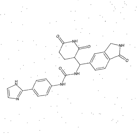 O=C1CCC(C(NC(=O)Nc2ccc(-c3ncc[nH]3)cc2)c2ccc3c(c2)CNC3=O)C(=O)N1